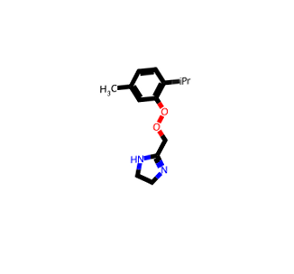 Cc1ccc(C(C)C)c(OOCC2=NCCN2)c1